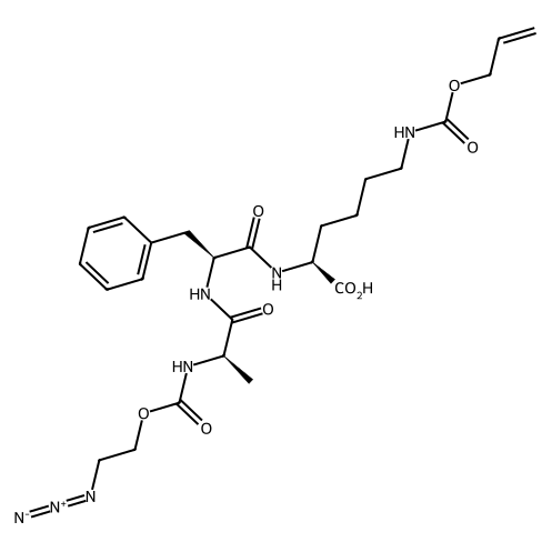 C=CCOC(=O)NCCCC[C@H](NC(=O)[C@H](Cc1ccccc1)NC(=O)[C@@H](C)NC(=O)OCCN=[N+]=[N-])C(=O)O